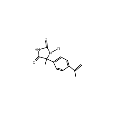 C=C(C)c1ccc(C2(C)C(=O)NC(=O)N2Cl)cc1